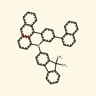 CC1(C)c2ccccc2-c2ccc(N(c3ccccc3)c3cc(-c4cccc5ccccc45)ccc3-c3cccc4ccccc34)cc21